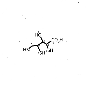 O=C(O)C(S)C(O)C(S)CS